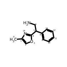 Cc1coc(C(CN)c2ccccc2)n1